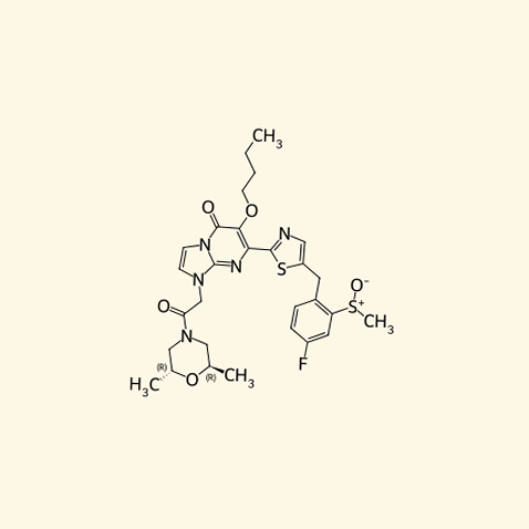 CCCCOc1c(-c2ncc(Cc3ccc(F)cc3[S+](C)[O-])s2)nc2n(CC(=O)N3C[C@@H](C)O[C@H](C)C3)ccn2c1=O